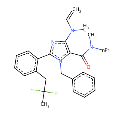 C=CN(C)c1nc(-c2ccccc2CC(C)(F)F)n(Cc2ccccc2)c1C(=O)N(C)CCC